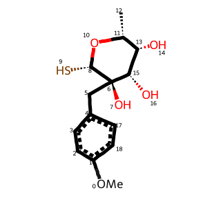 COc1ccc(C[C@]2(O)[C@H](S)O[C@H](C)[C@H](O)[C@@H]2O)cc1